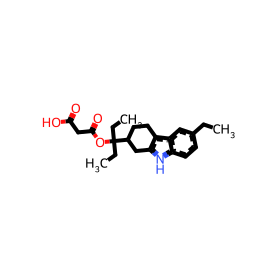 CCc1ccc2[nH]c3c(c2c1)CCC(C(CC)(CC)OC(=O)CC(=O)O)C3